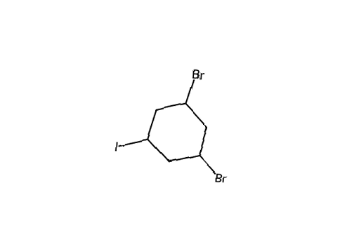 BrC1CC(Br)CC(I)C1